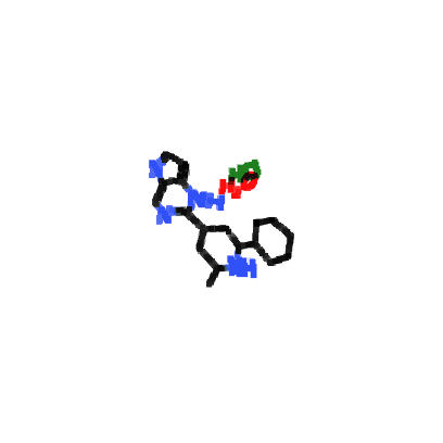 CC1CC(c2ncc3nccc-3[nH]2)CC(C2CCCCC2)N1.Cl.O